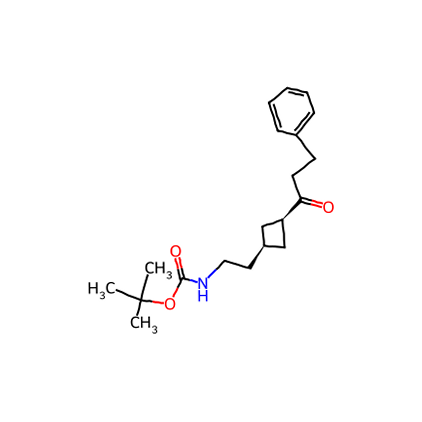 CC(C)(C)OC(=O)NCC[C@H]1C[C@@H](C(=O)CCc2ccccc2)C1